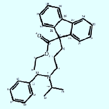 CCOC(=O)C1(CCCN(Cc2ccccc2)C(C)C)c2ccccc2-c2ccccc21